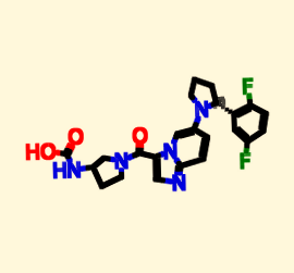 O=C(O)NC1CCN(C(=O)c2cnc3ccc(N4CCC[C@@H]4c4cc(F)ccc4F)cn23)C1